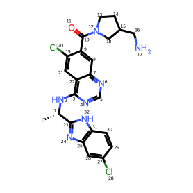 C[C@H](Nc1ncnc2cc(C(=O)N3CCC(CN)C3)c(Cl)cc12)c1nc2cc(Cl)ccc2[nH]1